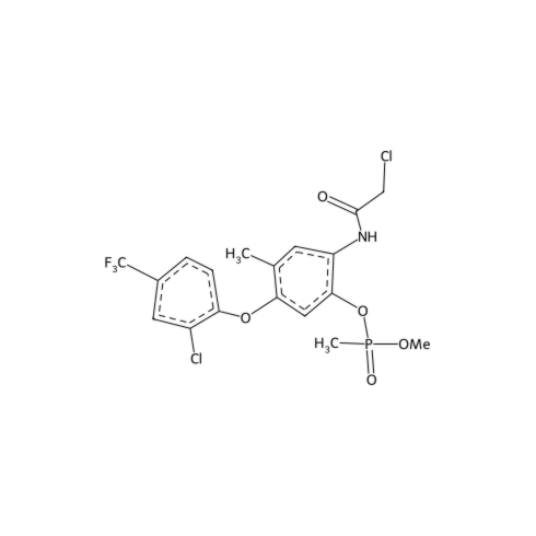 COP(C)(=O)Oc1cc(Oc2ccc(C(F)(F)F)cc2Cl)c(C)cc1NC(=O)CCl